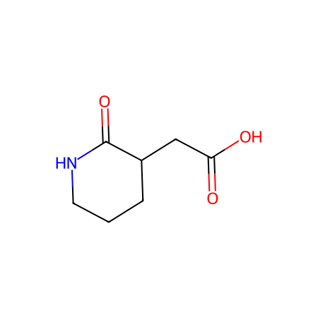 O=C(O)CC1CCCNC1=O